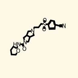 N#Cc1ccc(S(=O)(=O)CCCN2CC3CN(C(=O)NC4CCCCO4)CC3C2)cc1